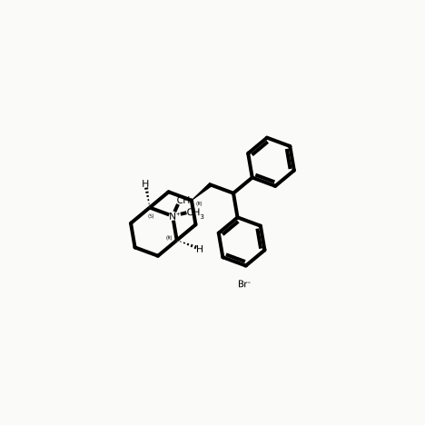 C[N+]1(C)[C@@H]2CCC[C@H]1C[C@@H](CC(c1ccccc1)c1ccccc1)C2.[Br-]